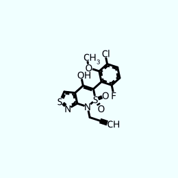 C#CCN1c2nscc2C(O)=C(c2c(F)ccc(Cl)c2OC)S1(=O)=O